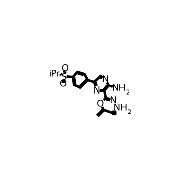 C#CC(=C)O/C(=N\N)c1nc(-c2ccc(S(=O)(=O)C(C)C)cc2)cnc1N